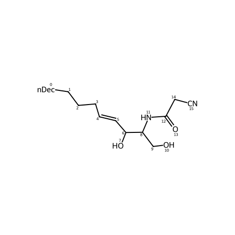 CCCCCCCCCCCCCC=CC(O)C(CO)NC(=O)CC#N